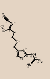 CO/C(CCSCc1csc(NC(=N)N)n1)=N\C#N